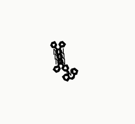 C1=Cc2ccccc2N(c2ccc(-c3nc4nc5nc(-c6ccccc6)c(-c6ccccc6)nc5nc4nc3-c3ccccc3)cc2)c2ccccc21